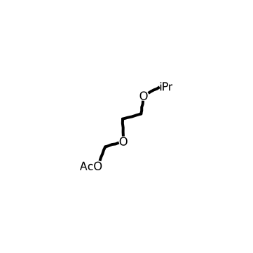 CC(=O)OCOCCOC(C)C